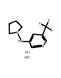 Cl.Cl.FC(F)(F)c1cncc(NN2CCCC2)c1